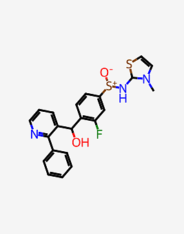 CN1C=CSC1N[S+]([O-])c1ccc(C(O)c2cccnc2-c2ccccc2)c(F)c1